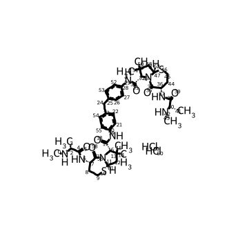 CN[C@@H](C)C(=O)N[C@H]1CCS[C@H]2CC(C)(C)[C@@H](C(=O)Nc3ccc(Cc4ccc(NC(=O)[C@H]5N6C(=O)[C@@H](NC(=O)[C@H](C)NC)CCS[C@H]6CC5(C)C)cc4)cc3)N2C1=O.Cl.Cl